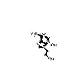 Cl.Nc1ncnc2c1ncn2CCO